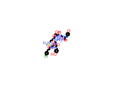 COc1ccc(C[C@@H](NC(=O)CNC(=O)C(NC(=O)[C@H](CCCCN)NC(=O)CNC(=O)[C@H](Cc2ccc(O)cc2)NC(=O)[C@@H](CSSC)NC(=O)CCc2ccc(Cl)cc2)C(C)O)C(N)=O)cc1